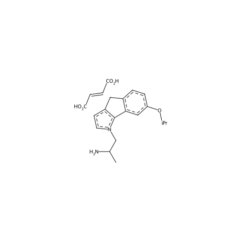 CC(N)Cn1ccc2c1-c1cc(OC(C)C)ccc1C2.O=C(O)/C=C/C(=O)O